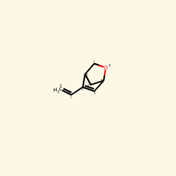 C=CC1=CC2CC1CO2